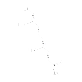 CC/C=C(\C)CC/C=C(C)/C=C/C(=O)C(C)(C)C